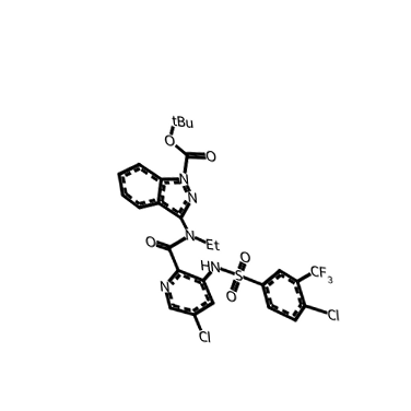 CCN(C(=O)c1ncc(Cl)cc1NS(=O)(=O)c1ccc(Cl)c(C(F)(F)F)c1)c1nn(C(=O)OC(C)(C)C)c2ccccc12